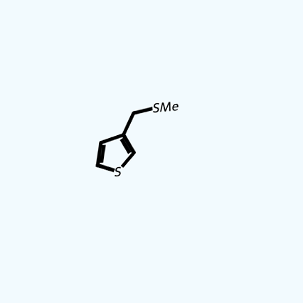 [CH2]SCc1ccsc1